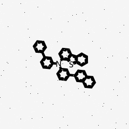 c1ccc(-c2cccc(N(c3cccc(-c4ccc5ccccc5c4)c3)c3cccc4c3sc3ccccc34)c2)cc1